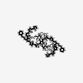 CCCCCCCCCCCCC(CCCCCCCCCC)CN1C(=O)C2=C(c3ncc(-c4ccc(-c5cc(CCCc6ccccc6)c(-c6ccc(-c7ccc(-c8cccs8)s7)s6)s5)s4)s3)N(CC(CCCCCCCCCC)CCCCCCCCCCCC)C(=O)C2=C1c1ncc(-c2ccc(-c3cc(CCCc4ccccc4)c(-c4ccc(-c5ccc(-c6cccs6)s5)s4)s3)s2)s1